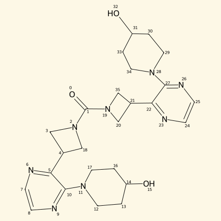 O=C(N1CC(c2nccnc2N2CCC(O)CC2)C1)N1CC(c2nccnc2N2CCC(O)CC2)C1